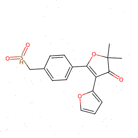 CC1(C)OC(c2ccc(C[SH](=O)=O)cc2)=C(c2ccco2)C1=O